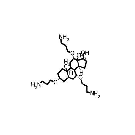 CC12CC[C@@H](OCCCN)CC1C[C@@H](OCCCN)C1[C@@H]2C[C@H](OCCCN)C2(C)C(O)CC[C@@H]12